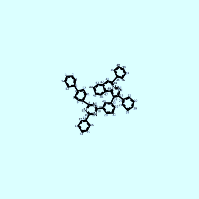 c1ccc(-c2ccc(-c3nc(-c4ccccc4)nc(-c4cccc(-c5c(-c6ccccc6)nn6c(-c7ccccc7)cc7ccccc7c56)c4)n3)cc2)cc1